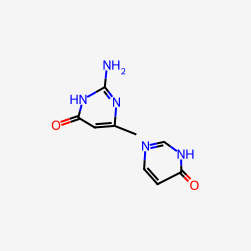 Cc1cc(=O)[nH]c(N)n1.O=c1ccnc[nH]1